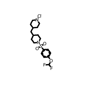 O=S(=O)(c1ccc(OC(F)F)cc1)N1CCC(CC2CCN(Cl)CC2)CC1